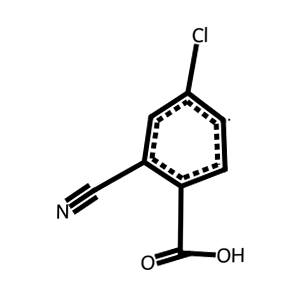 N#Cc1cc(Cl)[c]cc1C(=O)O